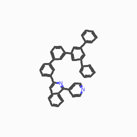 c1ccc(-c2cc(-c3ccccc3)cc(-c3cccc(-c4cccc(-c5cc6ccccc6c(-c6ccncc6)n5)c4)c3)c2)cc1